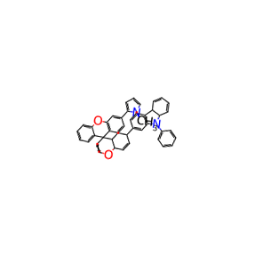 Cn1cccc1-c1ccc2c(c1)Oc1ccccc1C21C2=CCCC=C2OC2C=CC(c3ccc4c(c3)N(c3ccccc3)C3C=CC=CC43)CC21